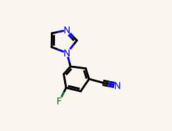 N#Cc1cc(F)cc(-n2ccnc2)c1